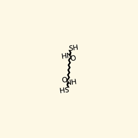 O=C(CCCCCCCCC(=O)NCCS)NCCS